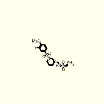 C=CS(=O)(=O)NC[C@H]1CCCN(S(=O)(=O)c2ccc(OC)c(F)c2)C1